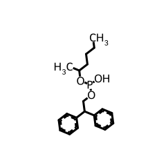 CCCCC(C)OP(O)OCC(c1ccccc1)c1ccccc1